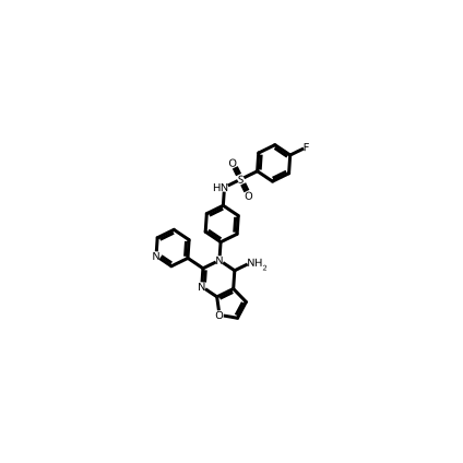 NC1c2ccoc2N=C(c2cccnc2)N1c1ccc(NS(=O)(=O)c2ccc(F)cc2)cc1